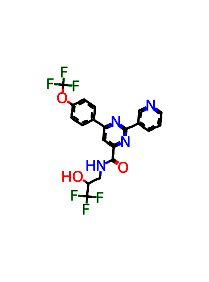 O=C(NCC(O)C(F)(F)F)c1cc(-c2ccc(OC(F)(F)F)cc2)nc(-c2cccnc2)n1